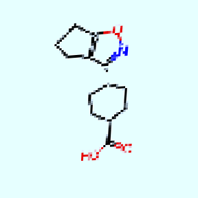 O=C(O)[C@H]1CC[C@H](c2noc3c2CCC3)CC1